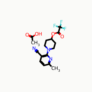 CC(=O)O.Cc1ccc(C#N)c(N2CCC(OC(=O)C(F)(F)F)CC2)n1